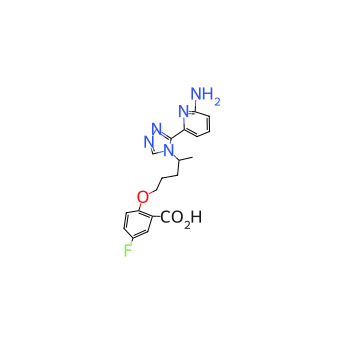 CC(CCCOc1ccc(F)cc1C(=O)O)n1cnnc1-c1cccc(N)n1